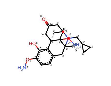 NOc1ccc2c(c1O)[C@]13CCN(CC4CC4)[C@H](C2)C1(ON)CCC(=O)C3